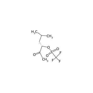 CC(=O)[C@H](CC(C)C)OS(=O)(=O)C(F)(F)F